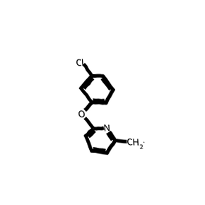 [CH2]c1cccc(Oc2cccc(Cl)c2)n1